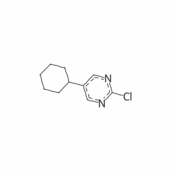 Clc1ncc(C2CCCCC2)cn1